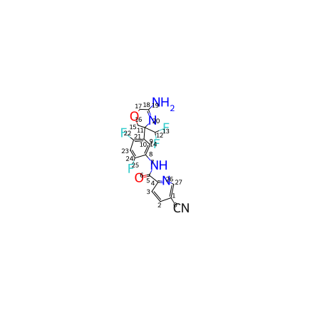 N#Cc1ccc(C(=O)Nc2cc(C3(C(F)F)COCC(N)=N3)c(F)cc2F)nc1